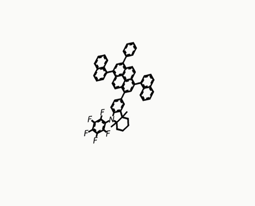 CC12CCCCC1(C)N(c1c(F)c(F)c(F)c(F)c1F)c1ccc(-c3cc(-c4cccc5ccccc45)c4ccc5c(-c6ccccc6)cc(-c6cccc7ccccc67)c6ccc3c4c56)cc12